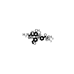 Cc1cc(S(=O)(=O)c2cccc(C(=O)N(C)C)c2)cc2c(Nc3cccc4c3CCO4)c(C(N)=O)cnc12